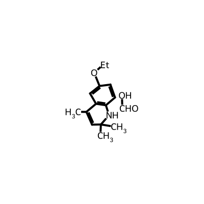 CCOc1ccc2c(c1)C(C)=CC(C)(C)N2.O=CO